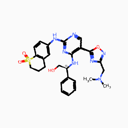 CN(C)Cc1noc(-c2cnc(Nc3ccc4c(c3)CCCS4(=O)=O)nc2N[C@H](CO)c2ccccc2)n1